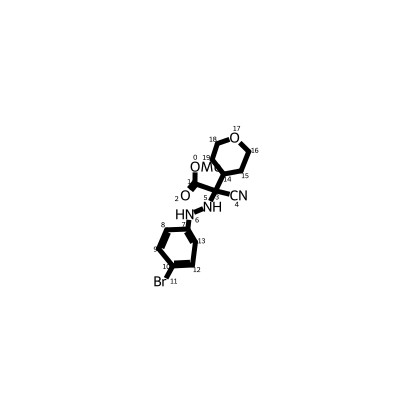 COC(=O)C(C#N)(NNc1ccc(Br)cc1)C1CCOCC1